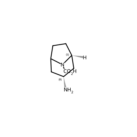 N[C@@H]1CC2CC[C@@H](C1)N2C(=O)O